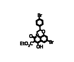 CCOC(=O)c1c(O)c2cc(Br)cc3c2n(c1=O)CC(c1ccc(Br)cc1)O3